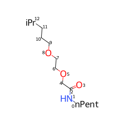 CCCCCNC(=O)COCCOCCCC(C)C